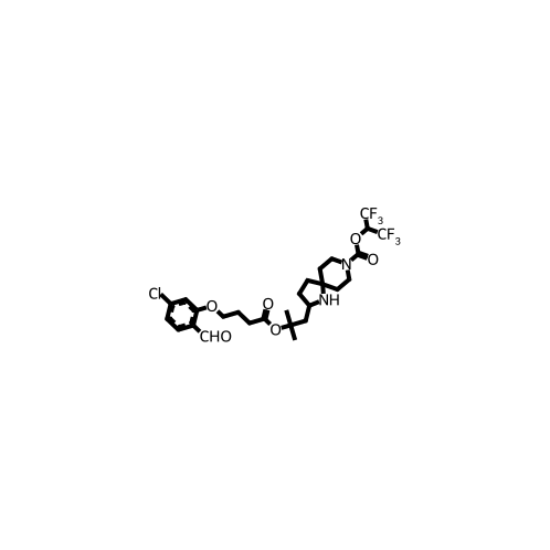 CC(C)(CC1CCC2(CCN(C(=O)OC(C(F)(F)F)C(F)(F)F)CC2)N1)OC(=O)CCCOc1cc(Cl)ccc1C=O